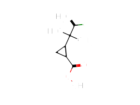 C=C(Cl)C(C)(C)C1CC1C(=O)OC